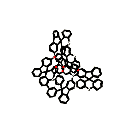 c1ccc(-c2ccc(N(c3ccc4c(c3)C3(c5ccccc5Sc5ccccc53)c3ccccc3-4)c3ccc4c(c3)C3(c5ccccc5Sc5c(-c6cccc(C7(c8ccccc8)c8ccccc8-c8ccc(N(c9ccc%10c(c9)C9(c%11ccccc%11Sc%11ccccc%119)c9ccccc9-%10)c9ccc%10c(c9)C9(c%11ccccc%11Sc%11ccccc%119)c9ccccc9-%10)cc87)c6)cccc53)c3ccccc3-4)c3ccccc23)cc1